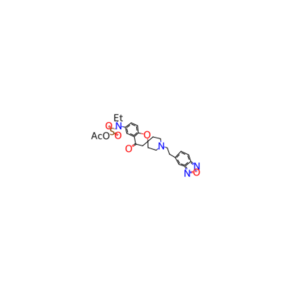 CCN(c1ccc2c(c1)C(=O)CC1(CCN(CCc3ccc4nonc4c3)CC1)O2)S(=O)(=O)OC(C)=O